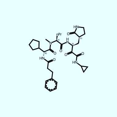 CCC[C@@H](C(=O)N[C@@H](C[C@@H]1CCNC1=O)C(=O)C(=O)NC1CC1)N(C)C(=O)[C@H](NC(=O)CCc1ccccc1)C1CCCC1